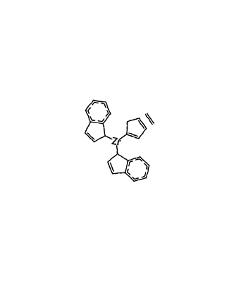 C1=CC[C]([Zr]([CH]2C=Cc3ccccc32)[CH]2C=Cc3ccccc32)=C1.C=C